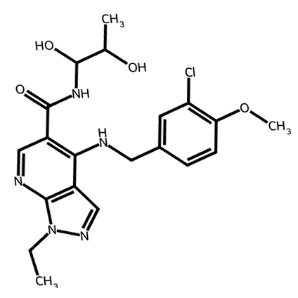 CCn1ncc2c(NCc3ccc(OC)c(Cl)c3)c(C(=O)NC(O)C(C)O)cnc21